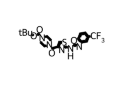 CC(C)(C)OC(=O)N1CCN(C(=O)c2csc(Nc3nc4cc(C(F)(F)F)ccc4o3)n2)CC1